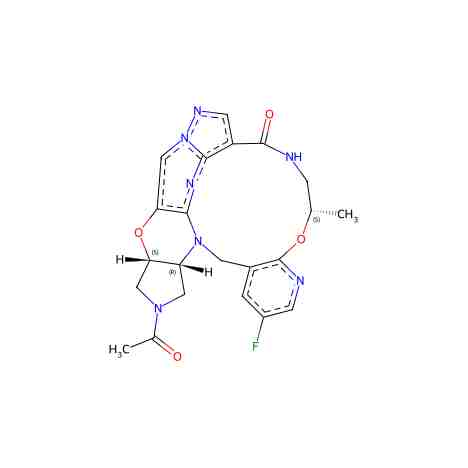 CC(=O)N1C[C@@H]2Oc3cn4ncc5c4nc3N(Cc3cc(F)cnc3O[C@@H](C)CNC5=O)[C@@H]2C1